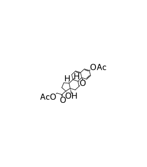 CC(=O)OCC(=O)[C@@]1(O)CC[C@H]2[C@@H]3CC=C4C=C(OC(C)=O)C=C[C@]4(C)[C@]34OC4C[C@@]21C